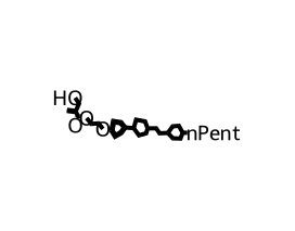 C=C(CO)C(=O)OCCOc1ccc(C2CCC(CCC3CCC(CCCCC)CC3)CC2)cc1